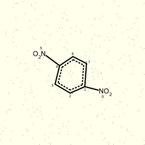 O=[N+]([O-])c1[c]cc([N+](=O)[O-])c[c]1